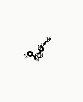 CN(C)CCCOc1ccc(-c2cn3c(-c4cccc(N(C)C)c4)cnc3cn2)cn1